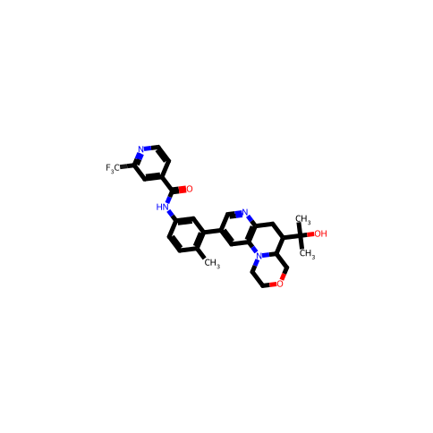 Cc1ccc(NC(=O)c2ccnc(C(F)(F)F)c2)cc1-c1cnc2c(c1)N1CCOCC1C(C(C)(C)O)C2